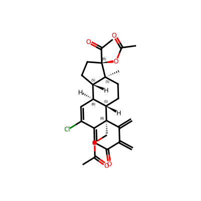 C=C1C(=C)[C@@]2(COC(C)=O)C(=CC1=O)C(Cl)=C[C@@H]1[C@@H]2CC[C@@]2(C)[C@H]1CC[C@]2(OC(C)=O)C(C)=O